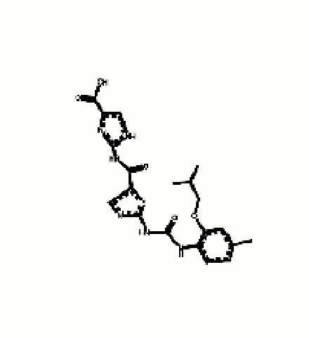 Cc1ccc(NC(=O)Nc2ncc(C(=O)Nc3nc(C(=O)O)c[nH]3)s2)c(OCC(C)C)c1